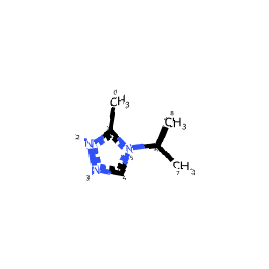 Cc1nncn1C(C)C